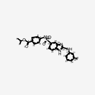 CC(C)OC(=O)c1ccc(NS(=O)(=O)c2ccc3[nH]c(Nc4cccc(F)c4)nc3c2)cc1